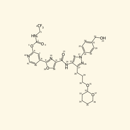 O=C(NCC(F)(F)F)Oc1cc(-c2nc(C(=O)Nc3cn(-c4ccc(CO)cc4)nc3CCCOC3CCCCO3)co2)ccn1